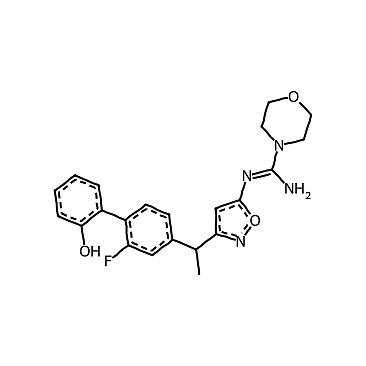 CC(c1ccc(-c2ccccc2O)c(F)c1)c1cc(/N=C(\N)N2CCOCC2)on1